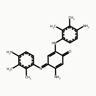 Cc1c(N)ccc(/N=C2\C=C(Nc3ccc(N)c(C)c3C)C(=O)C=C2N)c1C